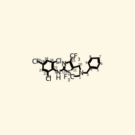 FC(F)(F)CN(Cc1ccccc1)Cc1sc(Nc2c(Cl)cc(Cl)cc2Cl)nc1C(F)(F)F